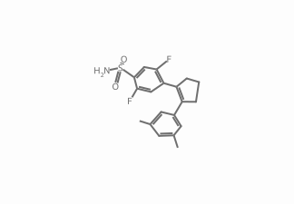 Cc1cc(C)cc(C2=C(c3cc(F)c(S(N)(=O)=O)cc3F)CCC2)c1